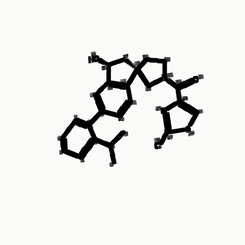 CC(C)c1ccccc1-c1ccc2c(c1)[C@@H](O)C[C@@]21CCN(C(=O)c2csc(Cl)n2)C1